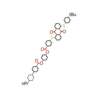 CCCC1CCC(c2ccc(C(=O)Oc3ccc(OC(=O)c4ccc(Sc5cccc6c5C(=O)c5cccc(Sc7ccc(C(C)(C)C)cc7)c5C6=O)cc4)cc3)cc2)CC1